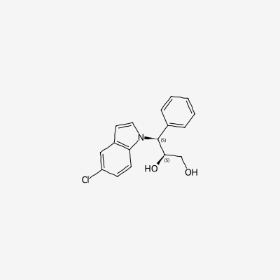 OC[C@@H](O)[C@H](c1ccccc1)n1ccc2cc(Cl)ccc21